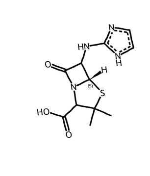 CC1(C)S[C@H]2C(Nc3ncc[nH]3)C(=O)N2C1C(=O)O